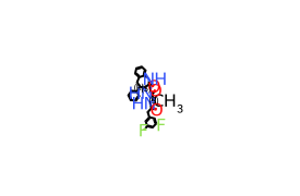 C[C@H](NC(=O)Cc1cc(F)cc(F)c1)C(=O)N[C@@H]1C(=O)Nc2ccccc2C[C@@H]1c1ccccc1